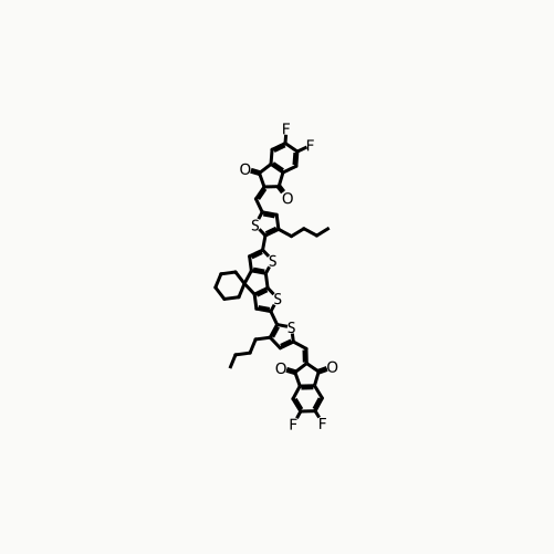 CCCCc1cc(C=C2C(=O)c3cc(F)c(F)cc3C2=O)sc1-c1cc2c(s1)-c1sc(-c3sc(C=C4C(=O)c5cc(F)c(F)cc5C4=O)cc3CCCC)cc1C21CCCCC1